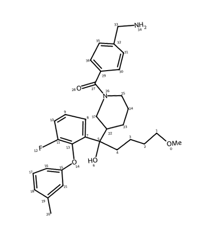 COCCCCC(O)(c1cccc(F)c1Oc1cccc(C)c1)C1CCCN(C(=O)c2ccc(CN)cc2)C1